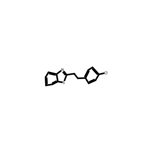 Clc1ccc(C[CH]c2nc3ccccc3s2)cc1